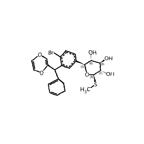 CS[C@H]1O[C@@H](c2ccc(Br)c(C(C3=CC=CCC3)C3=COC=CO3)c2)[C@H](O)[C@@H](O)[C@@H]1O